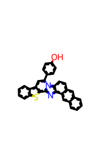 Oc1ccc(-c2cc3c4ccccc4sc3c3nc4c5cc6ccccc6cc5ccc4n23)cc1